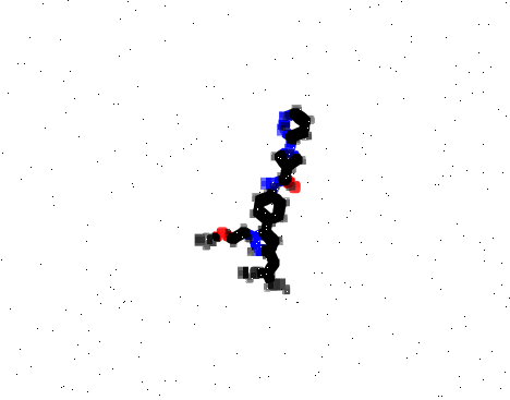 COCCn1nc(CC(C)C)cc1-c1ccc(NC(=O)C2CN(c3cccnn3)C2)cc1